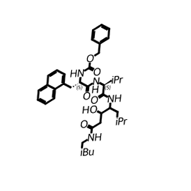 CCC(C)CNC(=O)CC(O)C(CC(C)C)NC(=O)[C@@H](NC(=O)[C@H](Cc1cccc2ccccc12)NC(=O)OCc1ccccc1)C(C)C